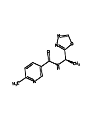 Cc1ccc(C(=O)N[C@H](C)c2nnco2)cn1